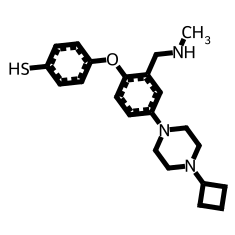 CNCc1cc(N2CCN(C3CCC3)CC2)ccc1Oc1ccc(S)cc1